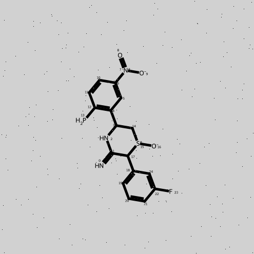 N=C1NC(c2cc([N+](=O)[O-])ccc2P)C[S+]([O-])C1c1cccc(F)c1